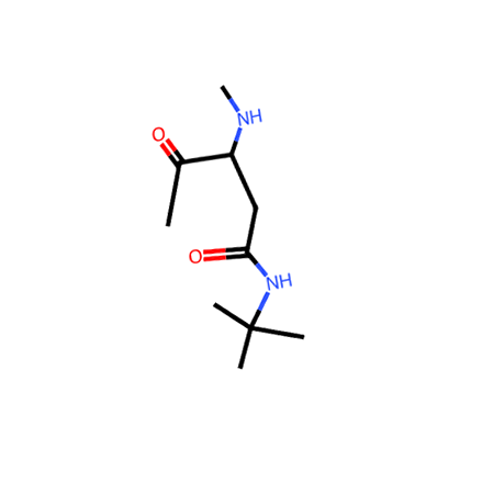 CNC(CC(=O)NC(C)(C)C)C(C)=O